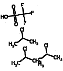 CC(C)Cl.CC(C)Cl.CC(C)Cl.O=S(=O)(O)C(F)(F)F